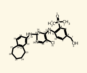 CP(C)(=O)c1cc(CO)ccc1Nc1nc(Nc2ccc3c(c2)CCCCC3)ncc1Cl